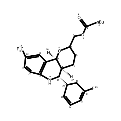 CCCCC(=O)OCC1CC[C@@H]2[C@H](O1)c1cc(C(F)(F)F)ccc1N[C@H]2C1C=CC=C(F)C1